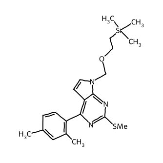 CSc1nc(-c2ccc(C)cc2C)c2ccn(COCC[Si](C)(C)C)c2n1